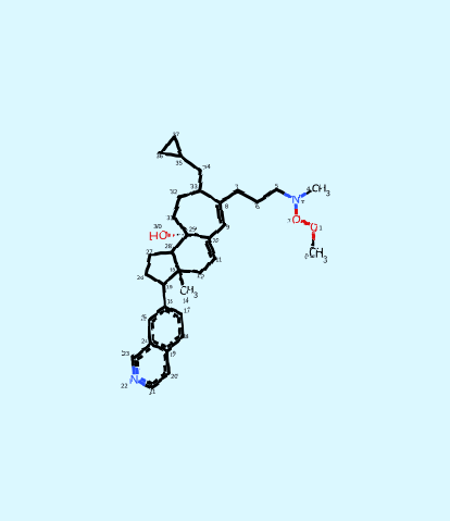 COON(C)CCCC1=CC2=CCC3(C)C(c4ccc5ccncc5c4)CCC3[C@@]2(O)CCC1CC1CC1